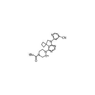 C[C@H]1CN(C(=O)C(C)(C)C)CCN1c1ncnc2c1C1(CCC1)CN2c1cc(C#N)ccn1